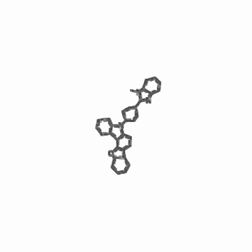 Cn1c(-c2ccc(-n3c4ccccc4c4c5oc6ccccc6c5ccc43)cc2)nc2ccccc21